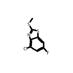 CSc1nc2c(Cl)cc(F)cc2s1